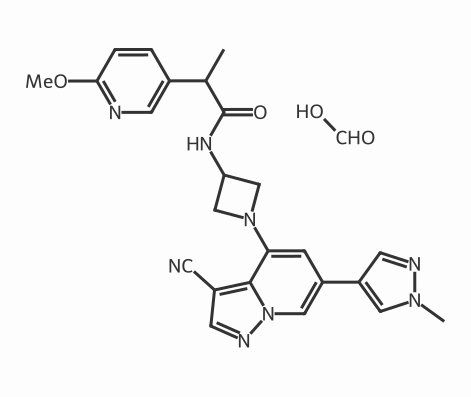 COc1ccc(C(C)C(=O)NC2CN(c3cc(-c4cnn(C)c4)cn4ncc(C#N)c34)C2)cn1.O=CO